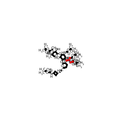 CN(C(=O)OC(C)(C)C)[C@@H]1[C@@H](O)[C@@H](O[C@@H]2[C@@H](O)[C@H](O[C@H]3OC(CNC[C@H]4C[C@H](NC(=O)OC(C)(C)C)C4)=CC[C@H]3N/C(=N/C(=O)OC(C)(C)C)NC(=O)OC(C)(C)C)[C@@H](NC(=O)OC(C)(C)C)C[C@H]2NC(=O)OC(C)(C)C)OC[C@]1(C)O